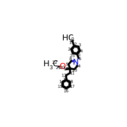 C#Cc1ccc(CN2CCC(CCc3ccccc3)(COCC)CC2)cc1